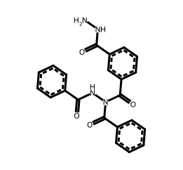 NNC(=O)c1cccc(C(=O)N(NC(=O)c2ccccc2)C(=O)c2ccccc2)c1